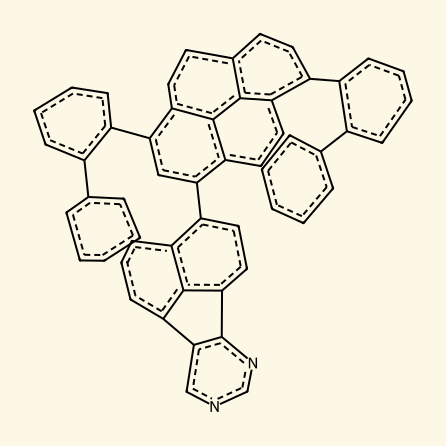 c1ccc(-c2ccccc2-c2ccc3ccc4c(-c5ccccc5-c5ccccc5)cc(-c5ccc6c7c(cccc57)-c5cncnc5-6)c5ccc2c3c45)cc1